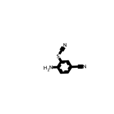 N#CSc1cc(C#N)ccc1N